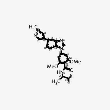 COc1cc(-n2cnc3cc(-c4cnn(C)c4)ccc32)cc(OC)c1C(=O)NC(C)C(F)F